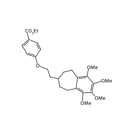 CCOC(=O)c1ccc(OCCC2CCc3c(c(OC)c(OC)c(OC)c3OC)CC2)cc1